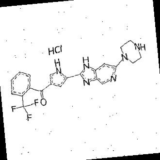 Cl.O=C(c1c[nH]c(-c2nc3cnc(N4CCNCC4)cc3[nH]2)c1)c1ccccc1C(F)(F)F